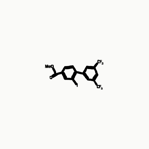 COC(=O)c1ccc(-c2cc(C(F)(F)F)cc(C(F)(F)F)c2)c(I)c1